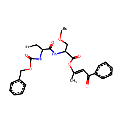 C/C(=C\C(=O)c1ccccc1)OC(=O)C(COC(C)(C)C)NC(=O)C(CC(C)C)NC(=O)OCc1ccccc1